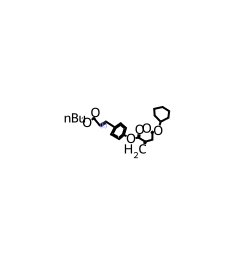 C=C(CC(=O)OC1CCCCC1)C(=O)Oc1ccc(/C=C/C(=O)OCCCC)cc1